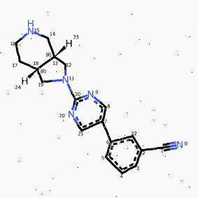 N#Cc1cccc(-c2cnc(N3C[C@H]4CNCC[C@H]4C3)nc2)c1